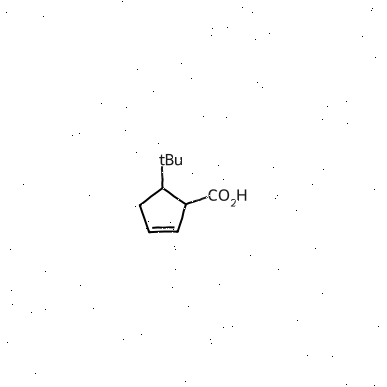 CC(C)(C)C1CC=CC1C(=O)O